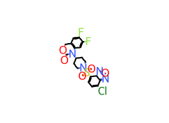 O=C1OCc2cc(F)c(F)cc2N1C1CCN(S(=O)(=O)c2ccc(Cl)c3nonc23)CC1